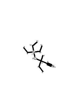 CCC(C)(C#N)O[Si](CC)(CC)CC